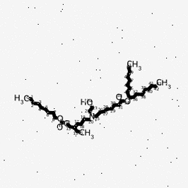 CCCCCCCCCOC(=O)OCC(CC)CCCCN(CCO)CCCCCCCC(=O)OC(CCCCCCCC)CCCCCCCC